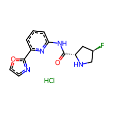 Cl.O=C(Nc1cccc(-c2ncco2)n1)[C@@H]1C[C@@H](F)CN1